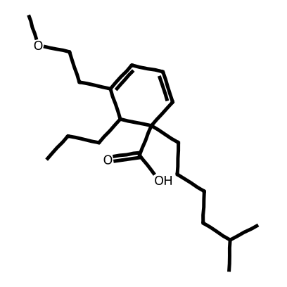 CCCC1C(CCOC)=CC=CC1(CCCCC(C)C)C(=O)O